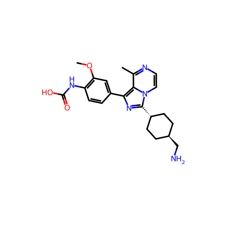 COc1cc(-c2nc([C@H]3CC[C@H](CN)CC3)n3ccnc(C)c23)ccc1NC(=O)O